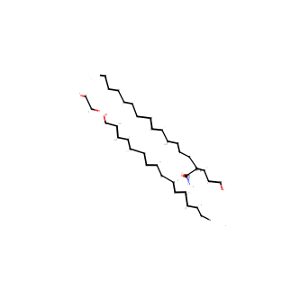 CCCCCCCCCCCCCCC(CCCO)C(N)=O.CCCCCCCCCCCCCCCCOCCO